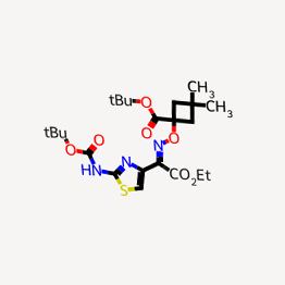 CCOC(=O)/C(=N\OC1(C(=O)OC(C)(C)C)CC(C)(C)C1)c1csc(NC(=O)OC(C)(C)C)n1